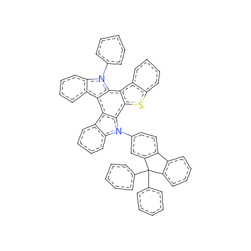 c1ccc(-n2c3ccccc3c3c4c5ccccc5n(-c5ccc6c(c5)C(c5ccccc5)(c5ccccc5)c5ccccc5-6)c4c4sc5ccccc5c4c32)cc1